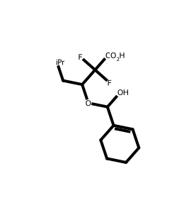 CC(C)CC(OC(O)C1=CCCCC1)C(F)(F)C(=O)O